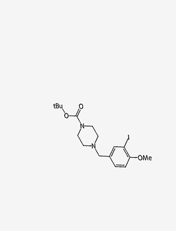 COc1ccc(CN2CCN(C(=O)OC(C)(C)C)CC2)cc1I